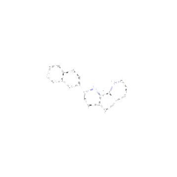 c1ccc2cc(-c3ccc4ccc5cccnc5c4n3)ccc2c1